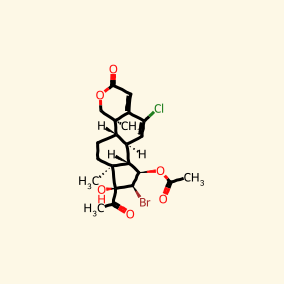 CC(=O)O[C@@H]1[C@H]2[C@@H]3C=C(Cl)C4=CC(=O)OC[C@]4(C)[C@H]3CC[C@]2(C)[C@@](O)(C(C)=O)[C@@H]1Br